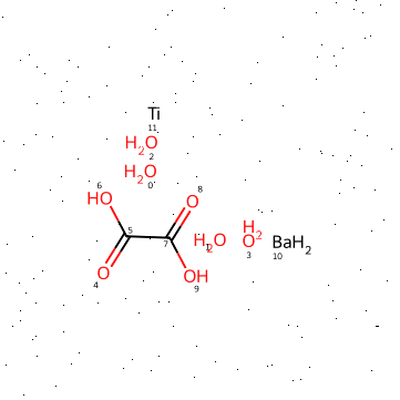 O.O.O.O.O=C(O)C(=O)O.[BaH2].[Ti]